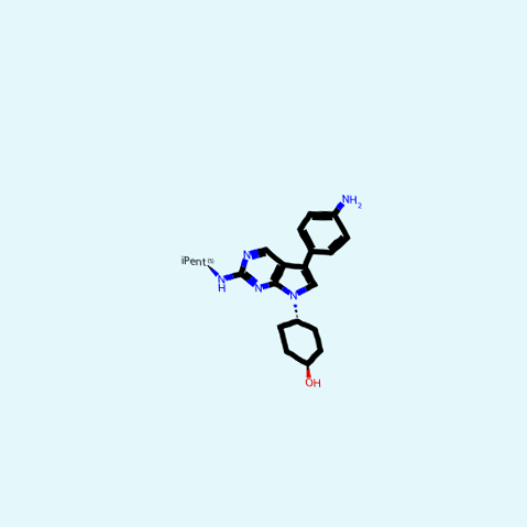 CCC[C@H](C)Nc1ncc2c(-c3ccc(N)cc3)cn([C@H]3CC[C@H](O)CC3)c2n1